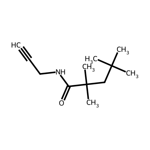 C#CCNC(=O)C(C)(C)CC(C)(C)C